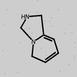 C1=CCN2CNCC2=C1